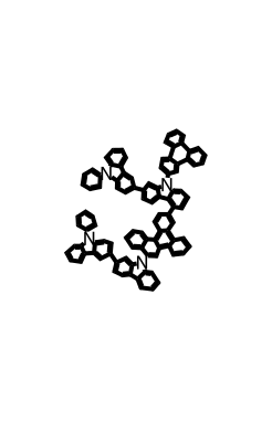 c1ccc(-n2c3ccccc3c3cc(-c4ccc5c6ccccc6n(-c6cc7c8ccccc8c8cc(-c9cccc%10c9c9ccc(-c%11ccc%12c(c%11)c%11ccccc%11n%12-c%11ccccc%11)cc9n%10-c9ccc%10c%11ccccc%11c%11ccccc%11c%10c9)ccc8c7c7ccccc67)c5c4)ccc32)cc1